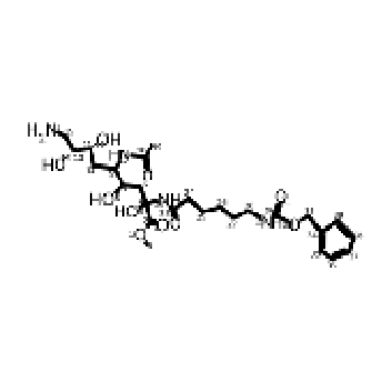 COC(=O)C(O)(CC(O)C(C[C@@H](O)[C@H](O)CN)NC(C)=O)NC(=O)CCCCCNC(=O)OCc1ccccc1